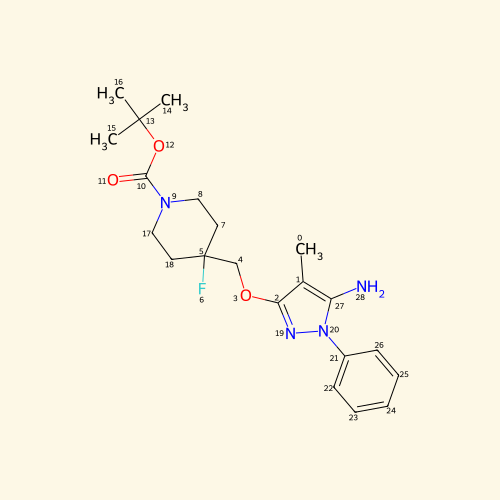 Cc1c(OCC2(F)CCN(C(=O)OC(C)(C)C)CC2)nn(-c2ccccc2)c1N